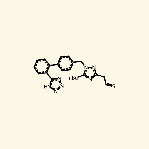 CCCCc1nc(CC=S)nn1Cc1ccc(-c2ccccc2-c2nnn[nH]2)cc1